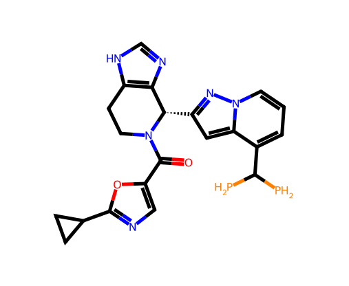 O=C(c1cnc(C2CC2)o1)N1CCc2[nH]cnc2[C@@H]1c1cc2c(C(P)P)cccn2n1